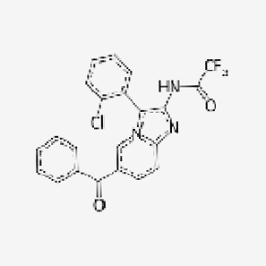 O=C(c1ccccc1)c1ccc2nc(NC(=O)C(F)(F)F)c(-c3ccccc3Cl)n2c1